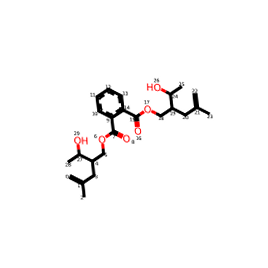 C=C(C)CC(COC(=O)c1ccccc1C(=O)OCC(CC(=C)C)C(C)O)C(C)O